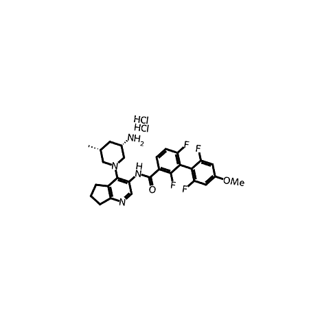 COc1cc(F)c(-c2c(F)ccc(C(=O)Nc3cnc4c(c3N3C[C@H](C)C[C@H](N)C3)CCC4)c2F)c(F)c1.Cl.Cl